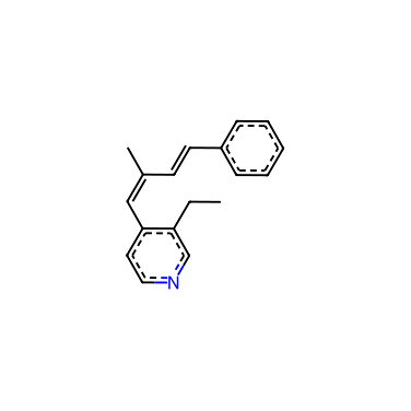 CCc1cnccc1C=C(C)C=Cc1ccccc1